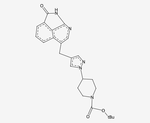 CC(C)(C)OC(=O)N1CCC(n2cc(Cc3cnc4c5c(cccc35)C(=O)N4)cn2)CC1